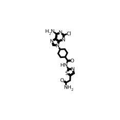 NC(=O)Cc1cnc(NC(=O)C2CCC(n3cnc4c(N)nc(Cl)nc43)CC2)s1